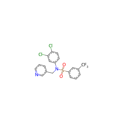 O=S(=O)(c1cccc(C(F)(F)F)c1)N(Cc1cccnc1)c1ccc(Cl)c(Cl)c1